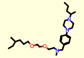 CCCC(C)N1CCN(c2ccc(CN(C)CCOCCOCCCC(C)CC)cc2)CC1